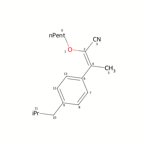 CCCCCOC(C#N)=C(C)c1ccc(CC(C)C)cc1